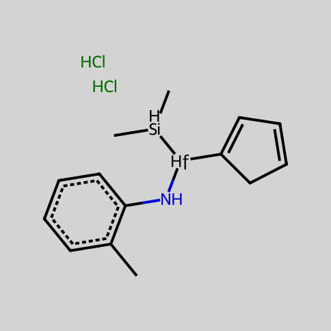 Cc1ccccc1[NH][Hf]([C]1=CC=CC1)[SiH](C)C.Cl.Cl